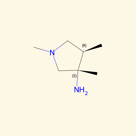 C[C@@H]1CN(C)C[C@@]1(C)N